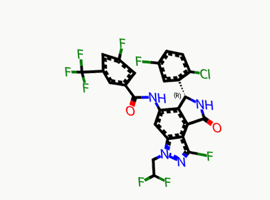 O=C(Nc1cc2c(c(F)nn2CC(F)F)c2c1[C@H](c1cc(F)ccc1Cl)NC2=O)c1cc(F)cc(C(F)(F)F)c1